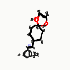 CCOC(=O)/C=C/C1CCC2(CC1)OCCO2